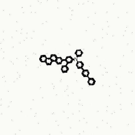 c1ccc(-c2ccc(-c3ccc(N(c4ccccc4)c4ccc(-c5ccc6c(ccc7c8ccccc8ccc67)c5)c(-c5ccccc5)c4)cc3)cc2)cc1